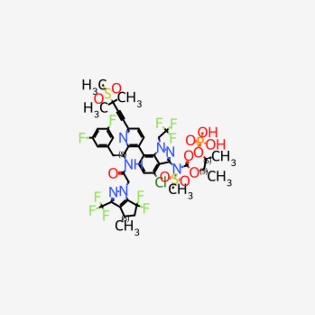 C[C@H](OC(=O)N(c1nn(CC(F)(F)F)c2c(-c3ccc(C#CC(C)(C)S(C)(=O)=O)nc3[C@H](Cc3cc(F)cc(F)c3)NC(=O)Cn3nc(C(F)(F)F)c4c3C(F)(F)C[C@@H]4C)ccc(Cl)c12)S(C)(=O)=O)[C@H](C)OP(=O)(O)O